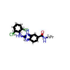 CCCNC(=O)c1ccc2nc(Nc3c(Cl)cccc3Cl)[nH]c2c1